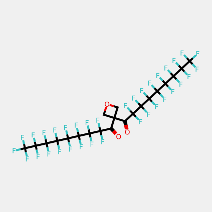 O=C(C1(C(=O)C(F)(F)C(F)(F)C(F)(F)C(F)(F)C(F)(F)C(F)(F)C(F)(F)C(F)(F)F)COC1)C(F)(F)C(F)(F)C(F)(F)C(F)(F)C(F)(F)C(F)(F)C(F)(F)C(F)(F)F